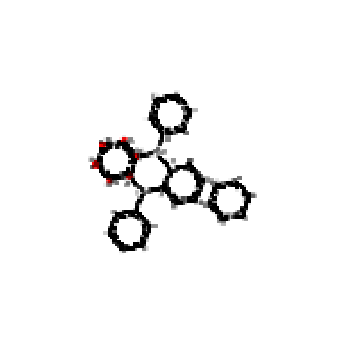 c1ccc(N(c2ccccc2)c2ccccc2N(c2ccccc2)c2ccccc2)cc1.c1ccccc1